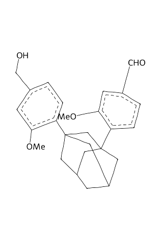 COc1cc(C=O)ccc1C12CC3CC(C1)CC(c1ccc(CO)cc1OC)(C3)C2